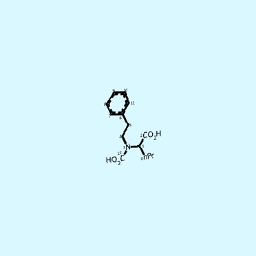 CCCC(C(=O)O)N(CCc1ccccc1)C(=O)O